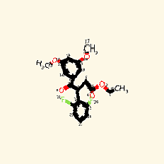 CCOC(=O)CC(C(=O)c1cc(OC)cc(OC)c1)c1c(F)cccc1F